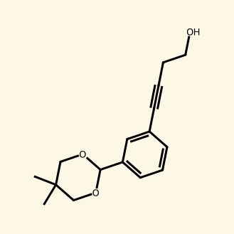 CC1(C)COC(c2cccc(C#CCCO)c2)OC1